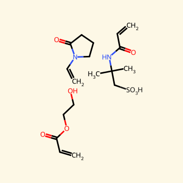 C=CC(=O)NC(C)(C)CS(=O)(=O)O.C=CC(=O)OCCO.C=CN1CCCC1=O